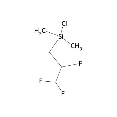 C[Si](C)(Cl)CC(F)C(F)F